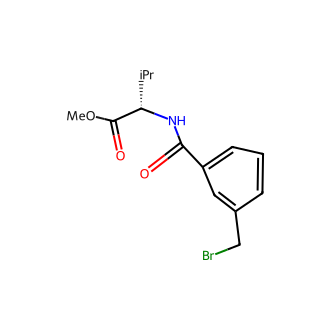 COC(=O)[C@@H](NC(=O)c1cccc(CBr)c1)C(C)C